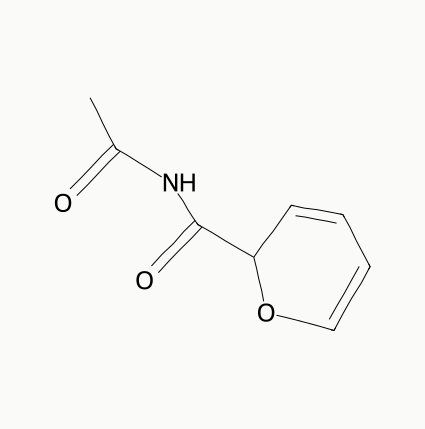 CC(=O)NC(=O)C1C=CC=CO1